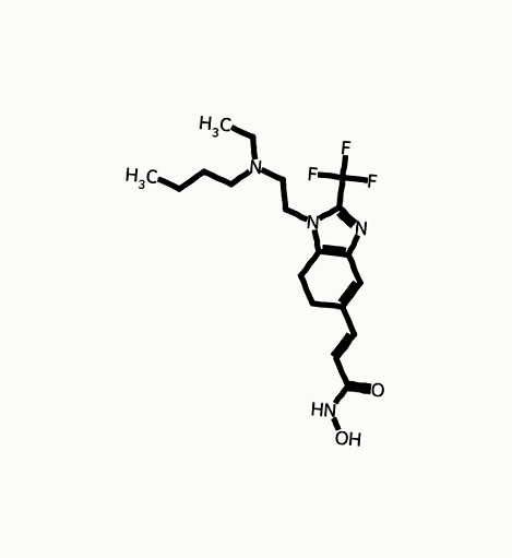 CCCCN(CC)CCn1c(C(F)(F)F)nc2c1CCC(/C=C/C(=O)NO)=C2